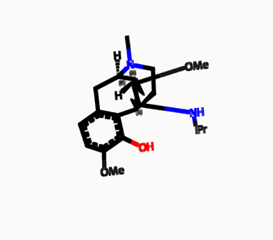 COc1ccc2c(c1O)[C@]13CCN(C)[C@H](C2)[C@@H]1CC(OC)C(NC(C)C)C3